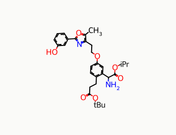 Cc1oc(-c2cccc(O)c2)nc1CCOc1ccc(CCC(=O)OC(C)(C)C)c(C(N)C(=O)OC(C)C)c1